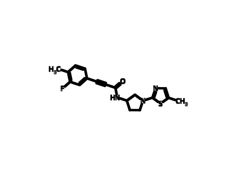 Cc1cnc(N2CCC(NC(=O)C#Cc3ccc(C)c(F)c3)C2)s1